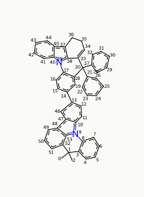 CC1(C)c2ccccc2-n2c3ccc(-c4ccc5c(c4)C(c4ccccc4)(c4ccccc4)C4=CCCc6c4n-5c4ccccc64)cc3c3cccc1c32